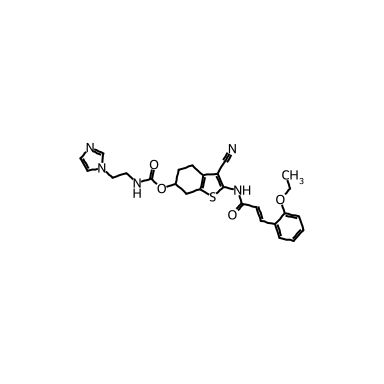 CCOc1ccccc1C=CC(=O)Nc1sc2c(c1C#N)CCC(OC(=O)NCCn1ccnc1)C2